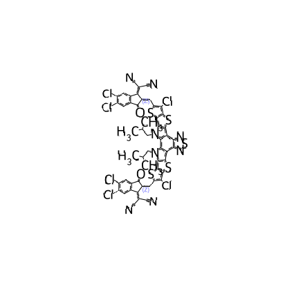 CC(C)Cn1c2c3sc(/C=C4\C(=O)c5cc(Cl)c(Cl)cc5C4=C(C#N)C#N)c(Cl)c3sc2c2c3nsnc3c3c4sc5c(Cl)c(/C=C6\C(=O)c7cc(Cl)c(Cl)cc7C6=C(C#N)C#N)sc5c4n(CC(C)C)c3c21